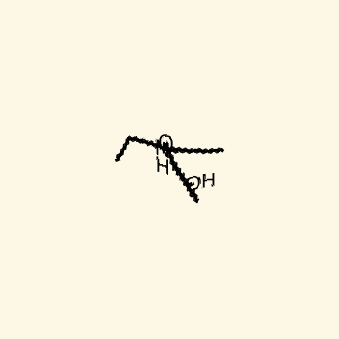 CCCCCCCC/C=C\CCCCCCCCNC(=O)C(CCCCCCCCCCCCCCCC)CCCCCCCCCCCC(O)CCCCCC